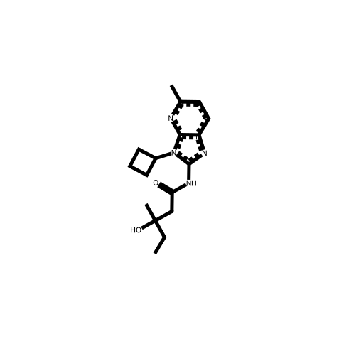 CCC(C)(O)CC(=O)Nc1nc2ccc(C)nc2n1C1CCC1